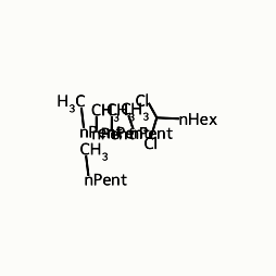 CCCCCC.CCCCCC.CCCCCC.CCCCCC.CCCCCC.CCCCCCC(Cl)Cl